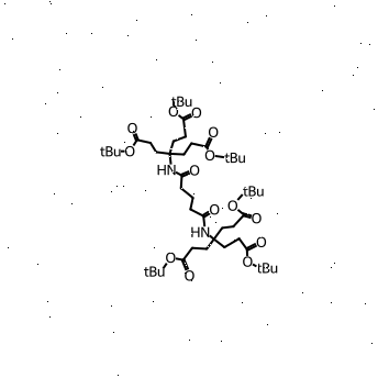 CC(C)(C)OC(=O)CCC(CCC(=O)OC(C)(C)C)(CCC(=O)OC(C)(C)C)NC(=O)CCCC(=O)NC(CCC(=O)OC(C)(C)C)(CCC(=O)OC(C)(C)C)CCC(=O)OC(C)(C)C